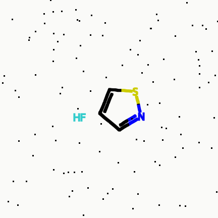 F.c1cnsc1